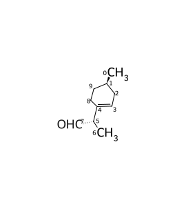 C[C@H]1CC=C([C@H](C)C=O)CC1